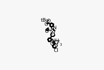 CC(C)(C)OC(=O)c1ccc2nc(CN3CCC(c4cccc5c4NC(c4ccc(Cl)cn4)(C(F)(F)F)O5)CC3)n(C[C@@H]3CCO3)c2c1